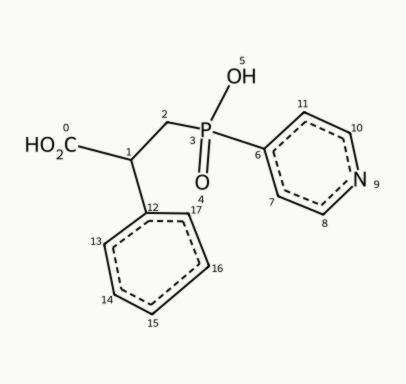 O=C(O)C(CP(=O)(O)c1ccncc1)c1ccccc1